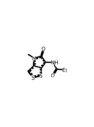 CCC(=O)Nc1c2sscc-2n(C)c1=O